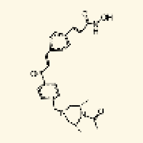 CC(=O)N1[C@H](C)CN(Cc2ccc(C(=O)C=Cc3ccc(C=CC(=O)NO)cc3)cc2)C[C@@H]1C